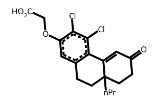 CCCC12CCC(=O)C=C1c1c(cc(OCC(=O)O)c(Cl)c1Cl)CC2